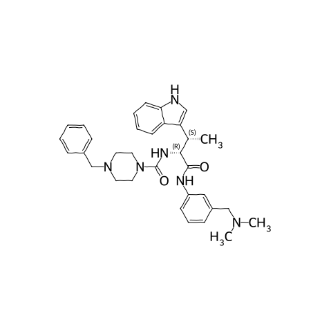 C[C@@H](c1c[nH]c2ccccc12)[C@@H](NC(=O)N1CCN(Cc2ccccc2)CC1)C(=O)Nc1cccc(CN(C)C)c1